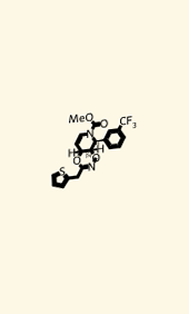 COC(=O)N1C=C[C@H]2OC(Cc3cccs3)=NO[C@H]2[C@@H]1c1cccc(C(F)(F)F)c1